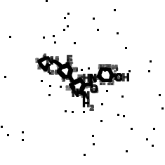 C[C@@H]1CCCN1Cc1ccc(-c2cnc(N)c(C(=O)N[C@H]3CC[C@](C)(O)CC3)c2)cc1F